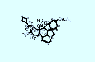 CC[C@]12C=CCN3CC[C@@]4(c5ccc(OC)cc5N(C)[C@H]4C(O)(CNC(=O)C4CCC4)[C@@H]1OC(C)=O)C32